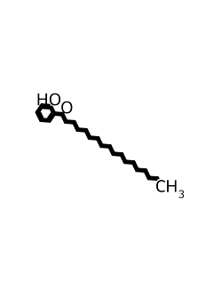 CCCCCCCCCCCCCCCCCC(=O)c1ccccc1O